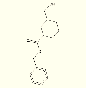 O=C(OCc1ccccc1)C1CCCC(CO)C1